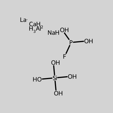 OP(O)F.O[Si](O)(O)O.[AlH3].[CaH2].[La].[NaH]